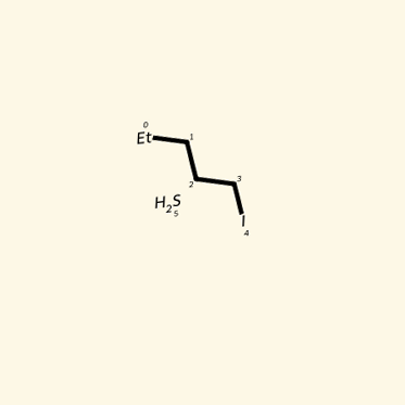 CCCCCI.S